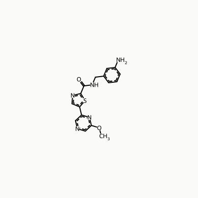 COc1cncc(-c2cnc(C(=O)NCc3cccc(N)c3)s2)n1